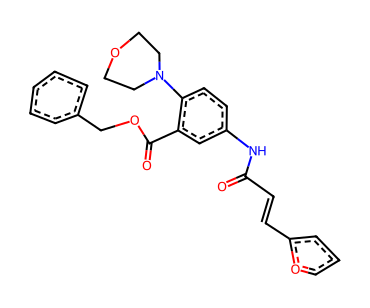 O=C(/C=C/c1ccco1)Nc1ccc(N2CCOCC2)c(C(=O)OCc2ccccc2)c1